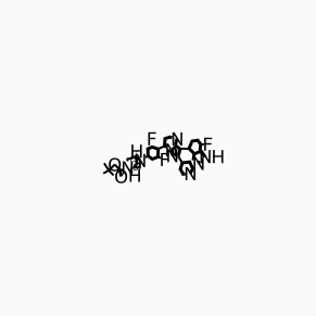 CC(C)(C)OC(=O)N1C[C@@H]2C[C@H]1CN2c1cc(F)c(-c2ccnc3c(-c4ccc(F)c5[nH]ncc45)c(-c4ccncc4)nn23)c(F)c1